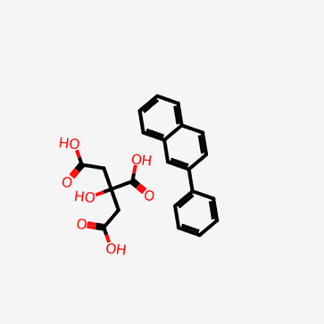 O=C(O)CC(O)(CC(=O)O)C(=O)O.c1ccc(-c2ccc3ccccc3c2)cc1